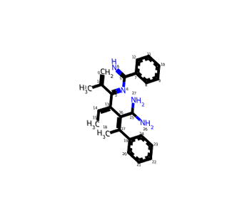 C=C(C)C(=N\C(=N)c1ccccc1)/C(=C/C)C(=C(\C)c1ccccc1)/C(N)N